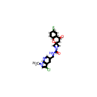 Cn1cc(Cl)c2cc(CNC(=O)N3CC4(CC(=O)c5cc(F)ccc5O4)C3)cnc21